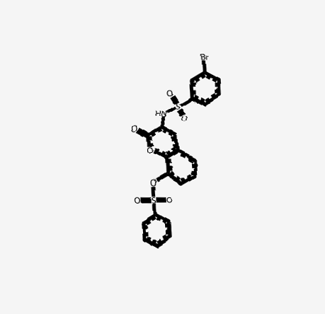 O=c1oc2c(OS(=O)(=O)c3ccccc3)cccc2cc1NS(=O)(=O)c1cccc(Br)c1